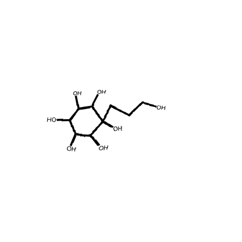 OCCCC1(O)C(O)C(O)C(O)C(O)C1O